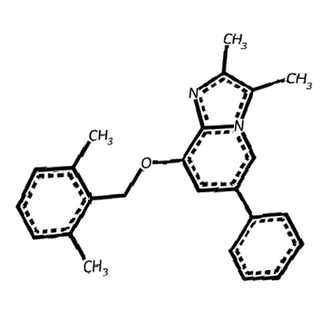 Cc1cccc(C)c1COc1cc(-c2ccccc2)cn2c(C)c(C)nc12